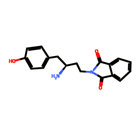 N[C@H](CCN1C(=O)c2ccccc2C1=O)Cc1ccc(O)cc1